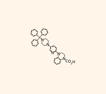 O=C(O)N1CCN(c2ccc(N3CCN(C(c4ccccc4)(c4ccccc4)c4ccccc4)CC3)cn2)c2ccccc21